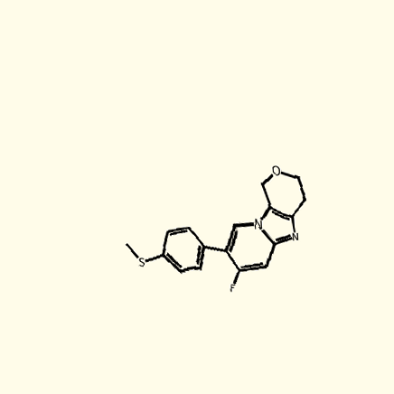 CSc1ccc(-c2cn3c4c(nc3cc2F)CCOC4)cc1